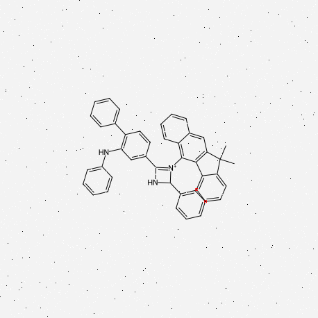 CC1(C)c2ccccc2-c2c1cc1ccccc1c2[N+]1=C(c2ccc(-c3ccccc3)c(Nc3ccccc3)c2)NC1c1ccccc1